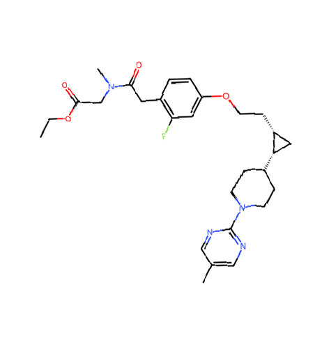 CCOC(=O)CN(C)C(=O)Cc1ccc(OCC[C@@H]2C[C@@H]2C2CCN(c3ncc(C)cn3)CC2)cc1F